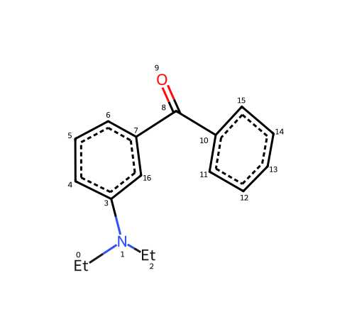 CCN(CC)c1cccc(C(=O)c2ccccc2)c1